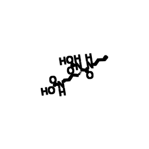 C=CCCNC(=O)[C@H](CCCCNC(=O)O)NC(=O)O